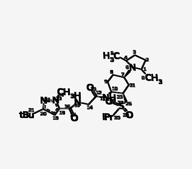 CC1CCC(C)N1[C@@H]1CC[C@H](NC(=O)CNC(=O)c2cc(C(C)(C)C)nn2C)[C@H](CS(=O)(=O)C(C)C)C1